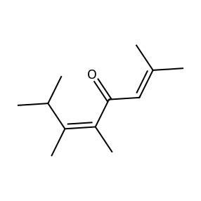 CC(C)=CC(=O)/C(C)=C(/C)C(C)C